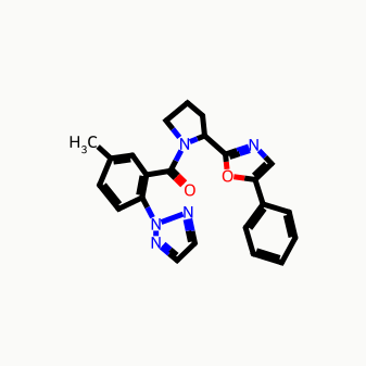 Cc1ccc(-n2nccn2)c(C(=O)N2CCCC2c2ncc(-c3ccccc3)o2)c1